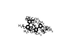 COc1cc(C(C)(C)C)c2op(Oc3c(C)cc(C)cc3-c3cc(C)cc(C)c3OC(=O)OC(C)(C)C)oc3c(C(C)(C)C)cc(OC)cc3c2c1